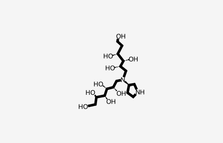 OCC[C@@H](O)[C@H](O)[C@@H](O)CN(C[C@H](O)[C@@H](O)[C@H](O)[C@H](O)CO)[C@@H]1CCNC1